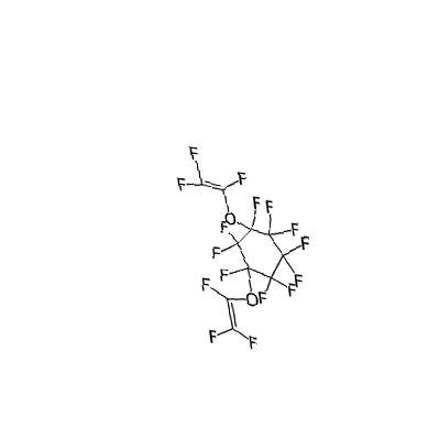 FC(F)=C(F)OC1(F)C(F)(F)C(F)(F)C(F)(F)C(F)(OC(F)=C(F)F)C1(F)F